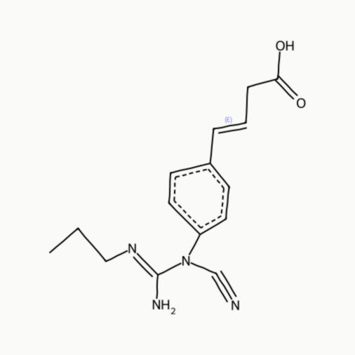 CCCN=C(N)N(C#N)c1ccc(/C=C/CC(=O)O)cc1